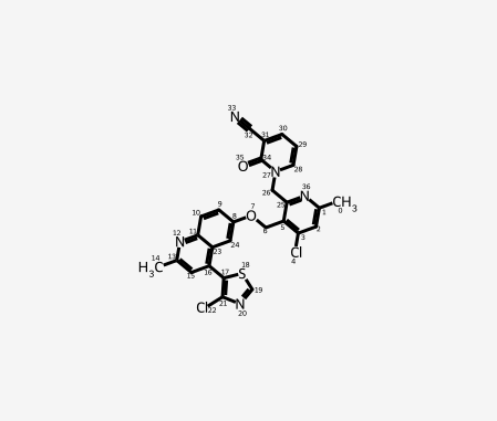 Cc1cc(Cl)c(COc2ccc3nc(C)cc(-c4scnc4Cl)c3c2)c(Cn2cccc(C#N)c2=O)n1